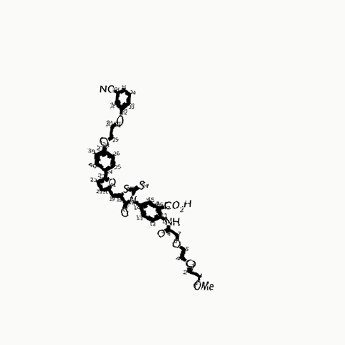 COCCOCCOCC(=O)Nc1ccc(N2C(=O)C(=Cc3ccc(-c4ccc(OCCOc5cccc(C#N)c5)cc4)o3)SC2=S)cc1C(=O)O